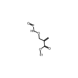 C=C(CONP=O)C(=O)OCC